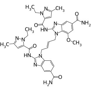 CCn1nc(C)cc1C(=O)Nc1nc2cc(C(N)=O)ccc2n1CC=CCn1c(NC(=O)c2cc(C)nn2CC)nc2cc(C(N)=O)cc(OC)c21